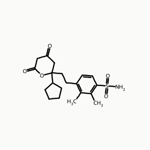 Cc1c(CCC2(C3CCCC3)CC(=O)CC(=O)O2)ccc(S(N)(=O)=O)c1C